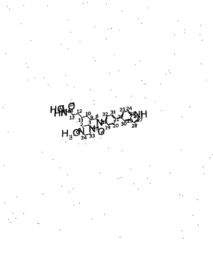 CN1CCN(C(=O)N(CCCCCCC(=O)NO)c2ccc(-c3ccc4[nH]ccc4c3)cc2)CC1